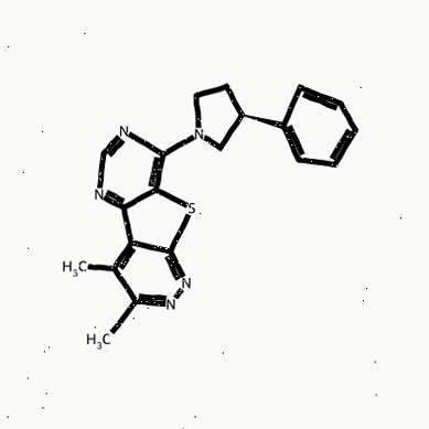 Cc1nnc2sc3c(N4CC[C@@H](c5ccccc5)C4)ncnc3c2c1C